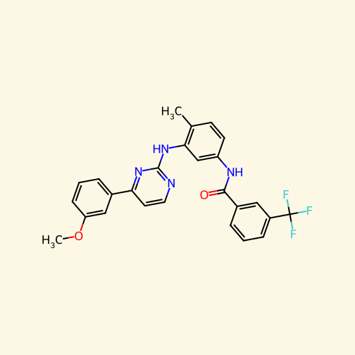 COc1cccc(-c2ccnc(Nc3cc(NC(=O)c4cccc(C(F)(F)F)c4)ccc3C)n2)c1